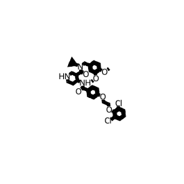 COc1ccc(CN(C(=O)C2CNCCC2NC(=O)c2ccc(OCCOc3c(Cl)cccc3Cl)cc2)C2CC2)cc1OC